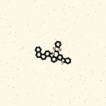 c1ccc2c(c1)ccc1ccc3c(ccc4c3c3ccccc3n4-c3nc4ccccc4nc3-c3ccc4sc5ccccc5c4c3)c12